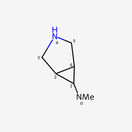 CNC1C2CNCC21